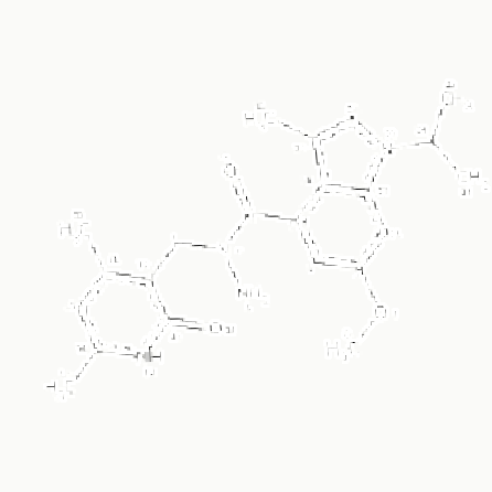 COc1cc(C(=O)N(N)Cc2c(C)cc(C)[nH]c2=O)c2c(C)cn(C(C)C)c2c1